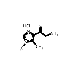 Cc1c(C(=O)CN)ncn1C.Cl